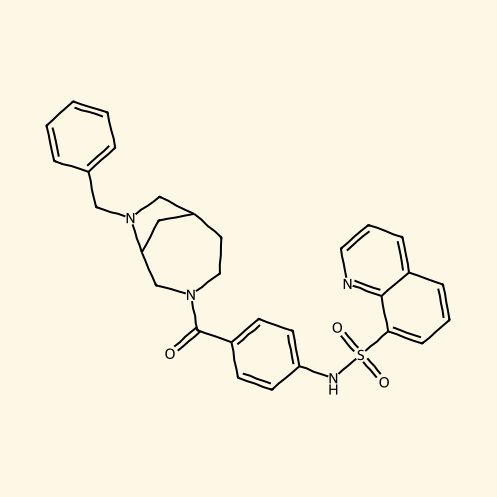 O=C(c1ccc(NS(=O)(=O)c2cccc3cccnc23)cc1)N1CCC2CC(C1)N(Cc1ccccc1)C2